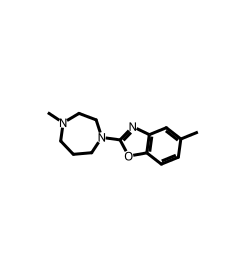 Cc1ccc2oc(N3CCCN(C)CC3)nc2c1